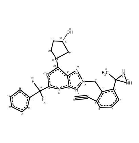 C#Cc1cccc(C2(C(F)(F)F)NN2)c1Cn1nc2nc(C(F)(F)c3ccccc3)nc(N3CC[C@H](O)C3)c2n1